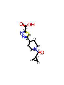 O=C(O)c1nnc(C2CCN(C(=O)C3CC3)CC2)s1